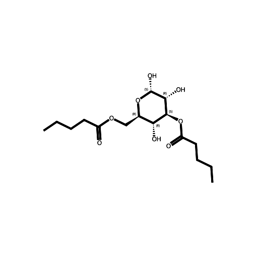 CCCCC(=O)OC[C@H]1O[C@H](O)[C@H](O)[C@@H](OC(=O)CCCC)[C@@H]1O